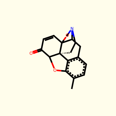 Cc1ccc2c3c1OC1C(=O)C=CC45OCN(CC[C@]314)C5C2